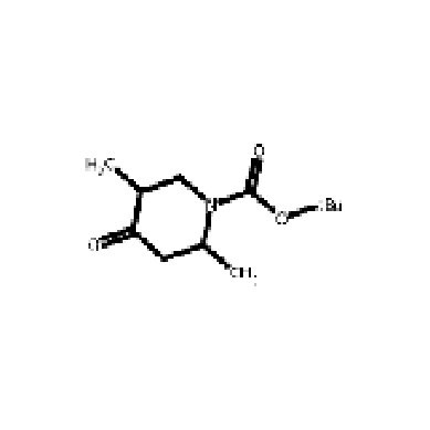 CC1CN(C(=O)OC(C)(C)C)C(C)CC1=O